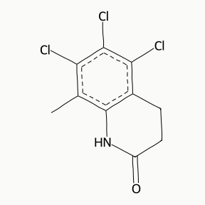 Cc1c(Cl)c(Cl)c(Cl)c2c1NC(=O)CC2